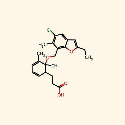 CCc1cc2cc(Cl)c(C)c(COC3(C)C(C)=CC=CC3CCC(=O)O)c2o1